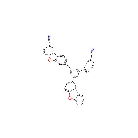 N#Cc1cccc(-c2cc(-c3ccc4c(c3)oc3ccc(C#N)cc34)cc(-c3ccc4oc5ccccc5c4c3)c2)c1